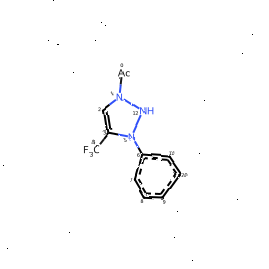 CC(=O)N1C=C(C(F)(F)F)N(c2ccccc2)N1